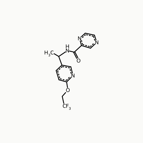 CC(NC(=O)c1cnccn1)c1ccc(OCC(F)(F)F)nc1